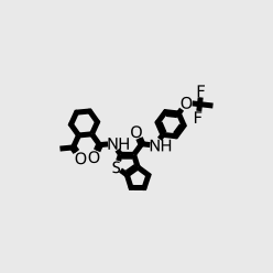 CC(=O)C1CCCCC1C(=O)Nc1sc2c(c1C(=O)Nc1ccc(OC(C)(F)F)cc1)CCC2